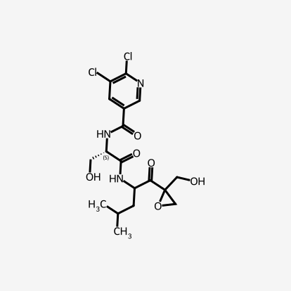 CC(C)CC(NC(=O)[C@H](CO)NC(=O)c1cnc(Cl)c(Cl)c1)C(=O)C1(CO)CO1